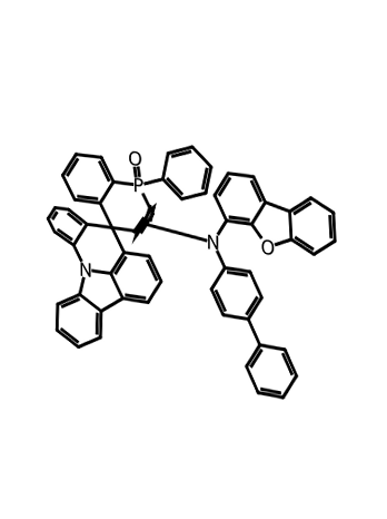 O=P1(c2ccccc2)c2ccccc2C2(c3ccccc3-n3c4ccccc4c4cccc2c43)c2ccc(N(c3ccc(-c4ccccc4)cc3)c3cccc4c3oc3ccccc34)cc21